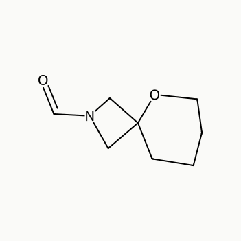 O=CN1CC2(CCCCO2)C1